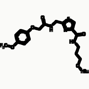 CCCCOCCCNC(=O)c1csc(CNC(=O)COc2ccc(OC(F)(F)F)cc2)n1